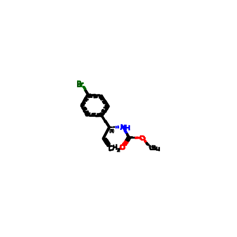 C=C[C@@H](NC(=O)OC(C)(C)C)c1ccc(Br)cc1